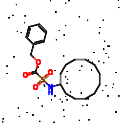 O=C(OCc1ccccc1)S(=O)(=O)NC1CCCCCCCCCCC1